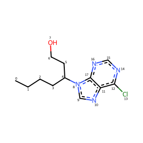 CCCCC(CCO)n1cnc2c(Cl)ncnc21